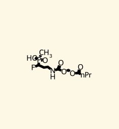 CCCC(=O)OCOC(=O)NCCC(F)P(C)(=O)O